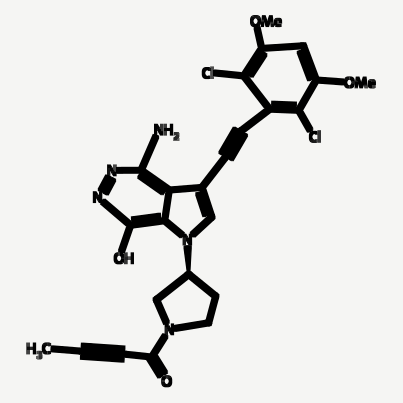 CC#CC(=O)N1CC[C@H](n2cc(C#Cc3c(Cl)c(OC)cc(OC)c3Cl)c3c(N)nnc(O)c32)C1